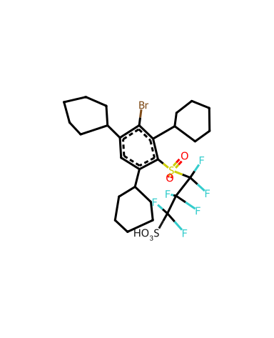 O=S(=O)(O)C(F)(F)C(F)(F)C(F)(F)S(=O)(=O)c1c(C2CCCCC2)cc(C2CCCCC2)c(Br)c1C1CCCCC1